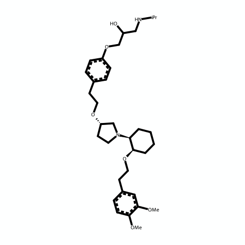 COc1ccc(CCO[C@@H]2CCCC[C@@H]2N2CC[C@H](OCCc3ccc(OCC(O)CNC(C)C)cc3)C2)cc1OC